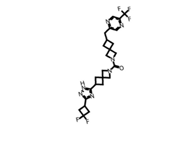 O=C(N1CC2(CC(Cc3cnc(C(F)(F)F)cn3)C2)C1)N1CC2(CC(c3nc(C4CC(F)(F)C4)n[nH]3)C2)C1